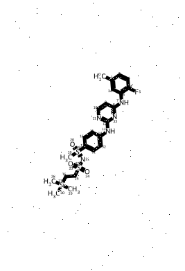 Cc1ccc(F)c(Nc2ccnc(Nc3ccc(S(C)(=O)=NS(=O)(=O)CC[Si](C)(C)C)cc3)n2)c1